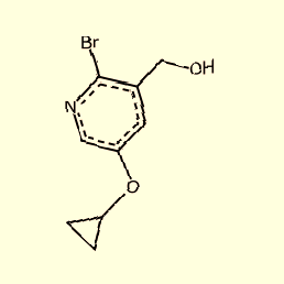 OCc1cc(OC2CC2)cnc1Br